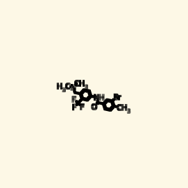 Cc1ccc(C(=O)Nc2ccc(CN(C)C)c(C(F)(F)F)c2)cc1Br